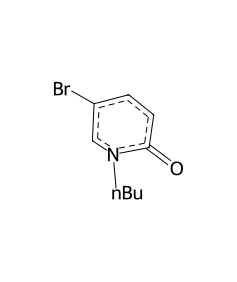 CCCCn1cc(Br)ccc1=O